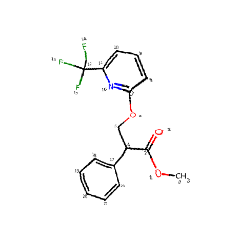 COC(=O)C(COc1cccc(C(F)(F)F)n1)c1ccccc1